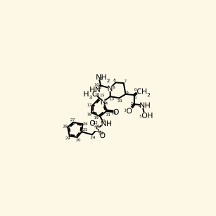 C=C(C(=O)NO)C1CCN(C(=N)N)C(n2c(C)ccc(NS(=O)(=O)Cc3ccccc3)c2=O)C1